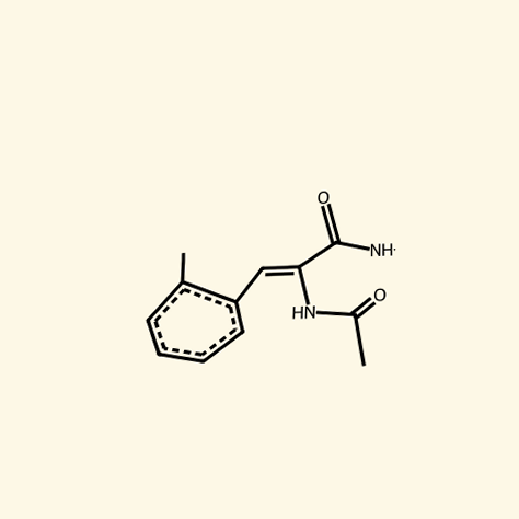 CC(=O)NC(=Cc1ccccc1C)C([NH])=O